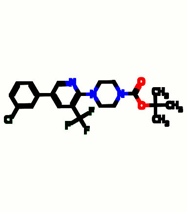 CC(C)(C)OC(=O)N1CCN(c2ncc(-c3cccc(Cl)c3)cc2C(F)(F)F)CC1